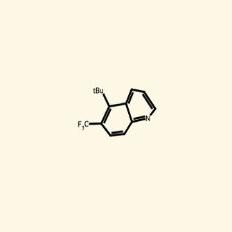 CC(C)(C)c1c(C(F)(F)F)ccc2ncccc12